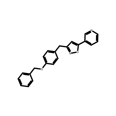 c1ccc(COc2ccc(Cc3cc(-c4cccnc4)on3)cc2)cc1